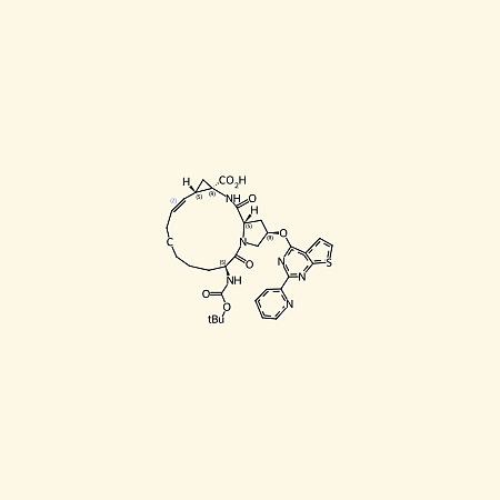 CC(C)(C)OC(=O)N[C@H]1CCCCC/C=C\[C@@H]2C[C@@]2(C(=O)O)NC(=O)[C@@H]2C[C@@H](Oc3nc(-c4ccccn4)nc4sccc34)CN2C1=O